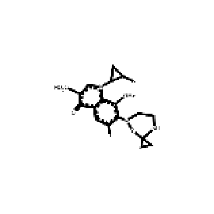 COc1c(N2CCNC3(CC3)C2)c(F)cc2c(=O)c(C(=O)O)cn(C3CC3F)c12